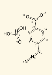 O=[PH](O)O.[N-]=[N+]=Nc1ccc([N+](=O)[O-])cc1